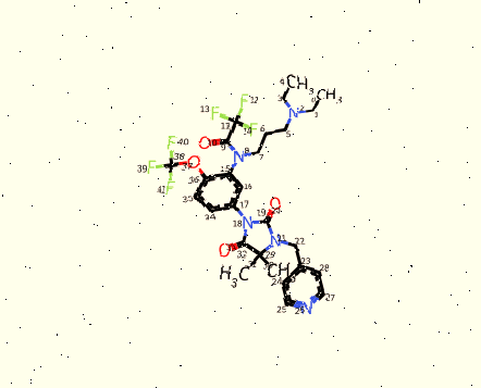 CCN(CC)CCCN(C(=O)C(F)(F)F)c1cc(N2C(=O)N(Cc3ccncc3)C(C)(C)C2=O)ccc1OC(F)(F)F